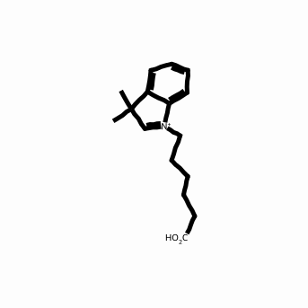 CC1(C)C=[N+](CCCCCC(=O)O)c2ccccc21